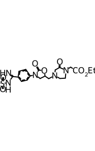 CCOC(=O)CN1CCN(CC2CN(c3ccc(C(=N)NS(C)(=O)=O)cc3)C(=O)O2)CC1=O